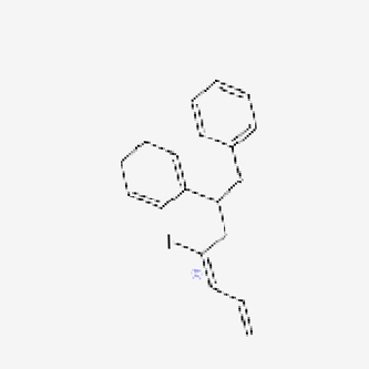 C=C/C=C(/I)CC(Cc1ccccc1)C1=CCCC=C1